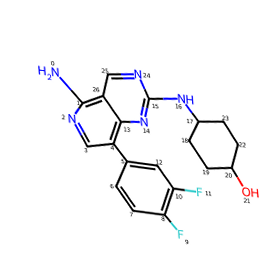 Nc1ncc(-c2ccc(F)c(F)c2)c2nc(NC3CCC(O)CC3)ncc12